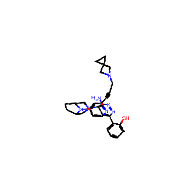 Nc1nnc(-c2ccccc2O)cc1N1CC2CCC(C1)N2c1ccnc(C#CCN2CC3(CC3)C2)c1